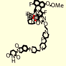 COCOc1cc(-c2ncc3c(N4CC5CCC(C4)N5C(=O)OC(C)(C)C)nc(OCCN4CCC(F)(CC5CCN(CC6CCN(c7ccc8c(c7)CN(C7CCC(=O)NC7=O)C8=O)CC6)CC5)CC4)nc3c2F)c2c(C#C[Si](C(C)C)(C(C)C)C(C)C)c(F)ccc2c1